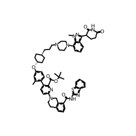 Cc1cc(O[C@H]2CC[C@H](CCCN3CCN(c4cccc5c(C6CCC(=O)NC6=O)nn(C)c45)CC3)CC2)ccc1-c1ccc(N2CCc3cccc(C(=O)Nc4nc5ccccc5s4)c3C2)nc1C(=O)OC(C)(C)C